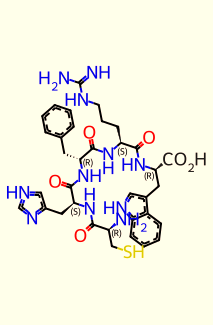 N=C(N)NCCC[C@H](NC(=O)[C@@H](Cc1ccccc1)NC(=O)[C@H](Cc1c[nH]cn1)NC(=O)[C@@H](N)CS)C(=O)N[C@H](Cc1c[nH]c2ccccc12)C(=O)O